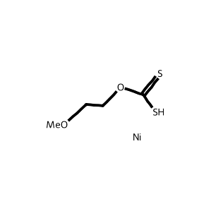 COCCOC(=S)S.[Ni]